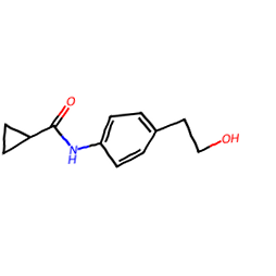 O=C(Nc1ccc(CCO)cc1)C1CC1